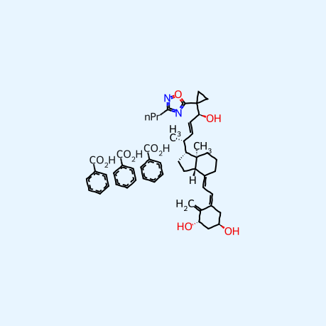 C=C1/C(=C\C=C2/CCC[C@]3(C)[C@@H]([C@H](C)/C=C/[C@H](O)C4(c5nc(CCC)no5)CC4)CC[C@@H]23)C[C@@H](O)C[C@@H]1O.O=C(O)c1ccccc1.O=C(O)c1ccccc1.O=C(O)c1ccccc1